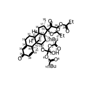 CCCCC(=O)OC(O)(OC(=O)CCCC)O[C@H]1C[C@@]2(C)[C@@H](C[C@H](C)[C@]2(OC(=O)CC)C(=O)COC(=O)CC)[C@@H]2CCC3=CC(=O)C=C[C@]3(C)C12F